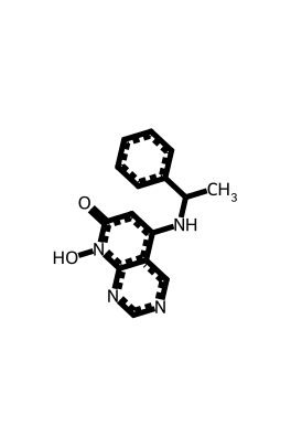 CC(Nc1cc(=O)n(O)c2ncncc12)c1ccccc1